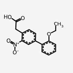 CCOc1ccccc1-c1ccc(CC(=O)O)c([N+](=O)[O-])c1